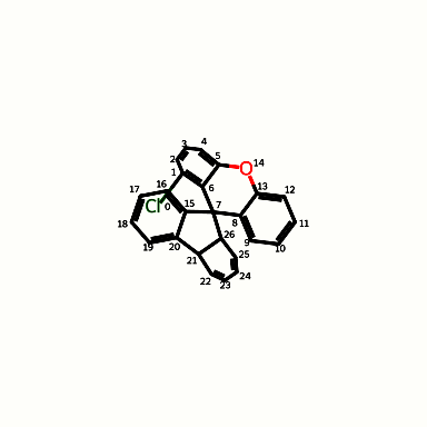 Clc1cccc2c1C1(c3ccccc3O2)c2ccccc2C2C=CC=CC21